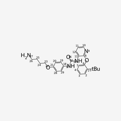 CC(C)(C)c1ccccc1Oc1ncccc1NC(=O)Nc1ccc(OCCCCN)cc1